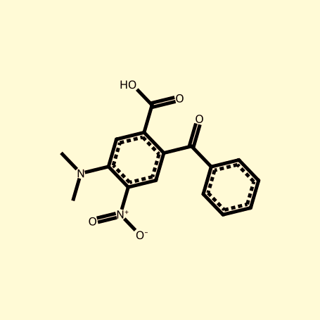 CN(C)c1cc(C(=O)O)c(C(=O)c2ccccc2)cc1[N+](=O)[O-]